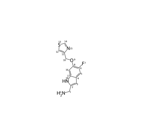 NCc1cc2cc(F)c(OCc3cscn3)cc2[nH]1